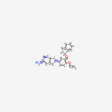 COc1ccc(N2Cc3cnc(N)cc3C2)cc1OC1CCc2ccccc21